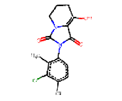 Cc1c(N2C(=O)C3=C(O)CCCN3C2=O)ccc(C#N)c1Cl